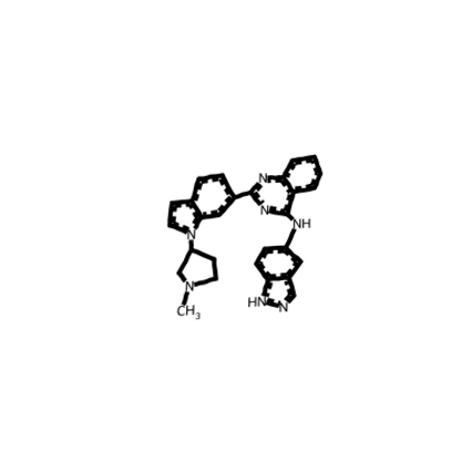 CN1CCC(n2ccc3ccc(-c4nc(Nc5ccc6[nH]ncc6c5)c5ccccc5n4)cc32)C1